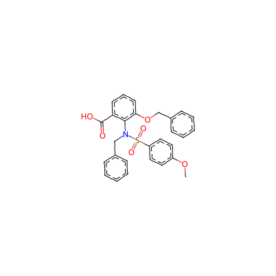 COc1ccc(S(=O)(=O)N(Cc2ccccc2)c2c(OCc3ccccc3)cccc2C(=O)O)cc1